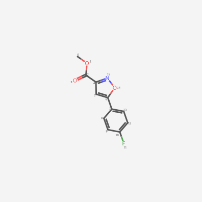 COC(=O)c1cc(-c2ccc(F)cc2)on1